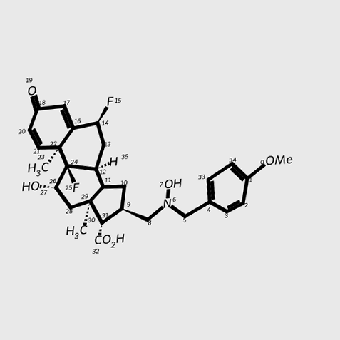 COc1ccc(CN(O)C[C@@H]2CC3[C@@H]4C[C@H](F)C5=CC(=O)C=C[C@]5(C)[C@@]4(F)[C@@H](O)C[C@]3(C)[C@H]2C(=O)O)cc1